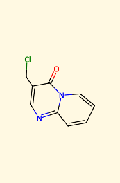 O=c1c(CCl)cnc2ccccn12